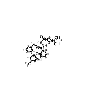 CN(C)C1CN(C(=O)[C@@H](COCc2ccccc2)NC(=O)c2cccnc2Oc2ccc(C(F)(F)F)cc2Cl)C1